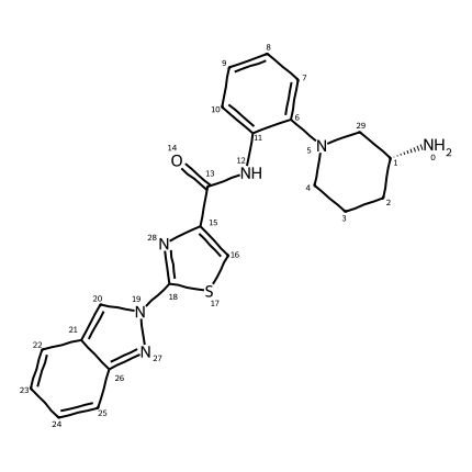 N[C@@H]1CCCN(c2ccccc2NC(=O)c2csc(-n3cc4ccccc4n3)n2)C1